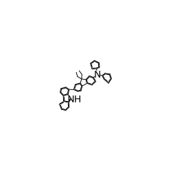 CCC1(CC)c2cc(-c3cccc4c3[nH]c3ccccc34)ccc2-c2ccc(N(c3ccccc3)c3ccccc3)cc21